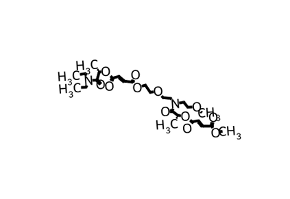 CCN(CC)C(=O)[C@@H](C)OC(=O)/C=C/C(=O)OCCOCCN(CCOC)C(=O)[C@H](C)OC(=O)/C=C/C(=O)OC